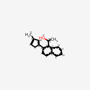 CC1=CCC(c2ccc3ccccc3c2C(C)O)=C1